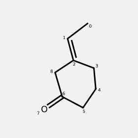 CC=C1CCCC(=O)C1